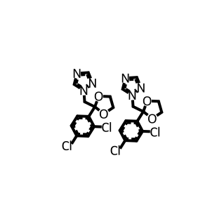 Clc1ccc(C2(Cn3cncn3)OCCO2)c(Cl)c1.Clc1ccc(C2(Cn3cncn3)OCCO2)c(Cl)c1